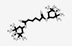 CC(=O)N1C(C)(C)CC(OC(=O)CCCCC(=O)OC2CC(C)(C)N(C(C)=O)C(C)(C)C2)CC1(C)C